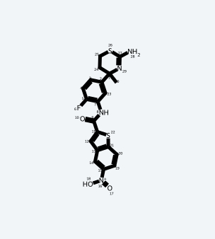 CC1(c2ccc(F)c(NC(=O)c3cc4cc([N+](=O)O)ccc4s3)c2)CCSC(N)=N1